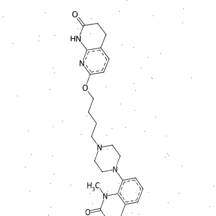 CN1C(=O)CCc2cccc(N3CCN(CCCCOc4ccc5c(n4)NC(=O)CC5)CC3)c21